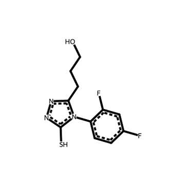 OCCCc1nnc(S)n1-c1ccc(F)cc1F